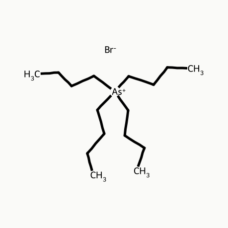 CCCC[As+](CCCC)(CCCC)CCCC.[Br-]